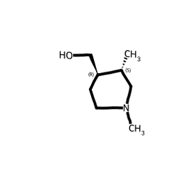 C[C@@H]1CN(C)CC[C@H]1CO